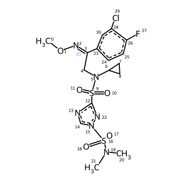 CO/N=C(\CN(C1CC1)S(=O)(=O)c1ncn(S(=O)(=O)N(C)C)n1)c1ccc(F)c(Cl)c1